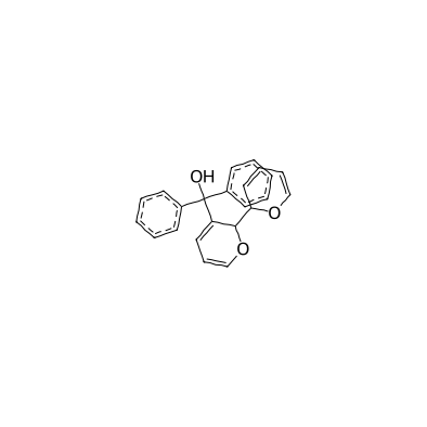 OC(C1=CC=COC1C1C=CC=CO1)(c1ccccc1)c1ccccc1